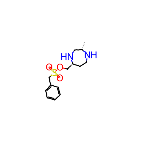 C[C@H]1CN[C@H](COS(=O)(=O)Cc2ccccc2)CCN1